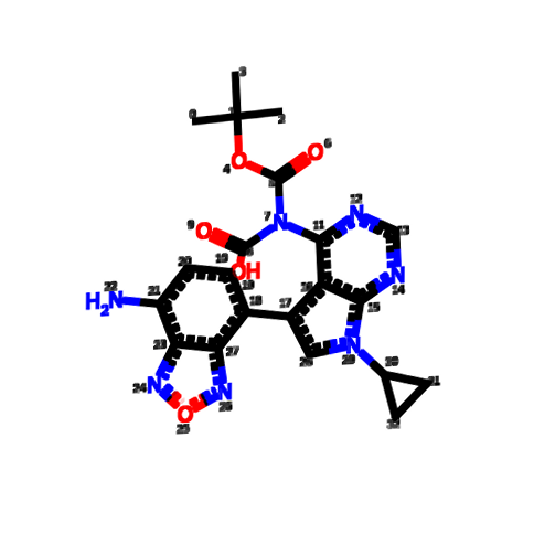 CC(C)(C)OC(=O)N(C(=O)O)c1ncnc2c1c(-c1ccc(N)c3nonc13)cn2C1CC1